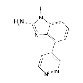 Cn1c(N)nc2c(-c3ccnnc3)cccc21